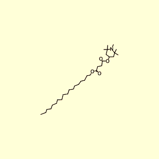 CCCCCCCCCCCCCCCCCCOC(=O)CCC(=O)OC1CC(C)(C)N(C)C(C)(C)C1